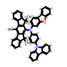 CC(C)(C)c1c2c(c(N(c3ccc(-n4c5ccccc5c5ccccc54)cc3)c3ccc4c(c3)oc3ccccc34)c3c1-c1ccccc1C3(C)C)C(C)(C)c1ccccc1-2